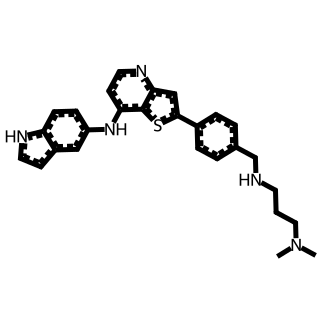 CN(C)CCCNCc1ccc(-c2cc3nccc(Nc4ccc5[nH]ccc5c4)c3s2)cc1